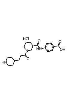 Cl.O=C(O)c1ccc(NC(=O)[C@@H]2CCCN(C(=O)CCC3CCNCC3)C2)cc1